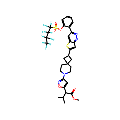 COC(=O)C(c1cc(N2CCC3(CC2)CC(c2cc4nnc(-c5ccccc5OS(=O)(=O)C(F)(F)C(F)(F)C(F)(F)C(F)(F)F)cc4s2)C3)no1)C(C)C